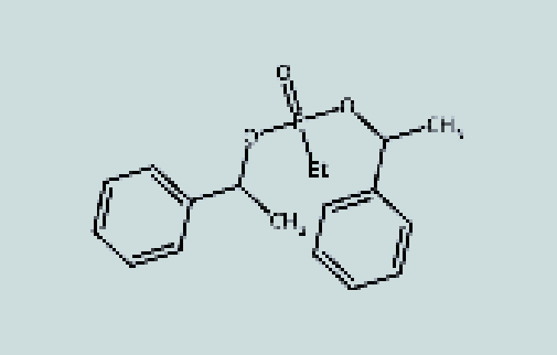 CCP(=O)(OC(C)c1ccccc1)OC(C)c1ccccc1